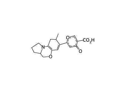 CC1CC2=C(C=C1c1cc(=O)c(C(=O)O)co1)OCC1CCCN21